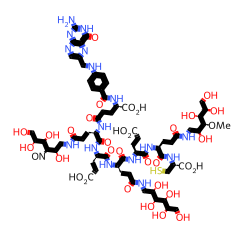 CO[C@@H]([C@H](O)[C@H](O)CO)[C@@H](O)CNC(=O)CC[C@H](NC(=O)[C@H](CCC(=O)O)NC(=O)[C@H](CCC(=O)NC[C@H](O)[C@@H](O)[C@H](O)[C@H](O)CO)NC(=O)[C@H](CCC(=O)O)NC(=O)[C@H](CCC(=O)NC[C@H](O)[C@@H](N=O)[C@H](O)[C@H](O)CO)NC(=O)CC[C@H](NC(=O)c1ccc(NCc2cnc3nc(N)[nH]c(=O)c3n2)cc1)C(=O)O)C(=O)N[C@@H](CS)C(=O)O